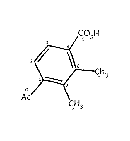 CC(=O)c1ccc(C(=O)O)c(C)c1C